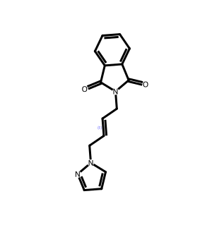 O=C1c2ccccc2C(=O)N1C/C=C/Cn1cccn1